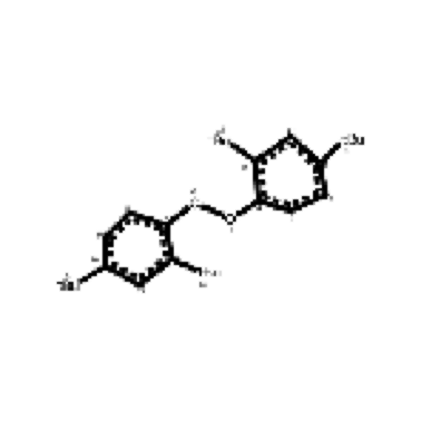 CC(C)(C)c1ccc(OOc2ccc(C(C)(C)C)cc2C(C)(C)C)c(C(C)(C)C)c1